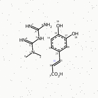 CN(C)C(=N)NC(=N)N.O=C(O)/C=C/c1ccc(O)c(O)c1